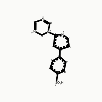 O=S(=O)(O)c1ccc(-c2ccnc(N3C=NC=NC3)c2)cc1